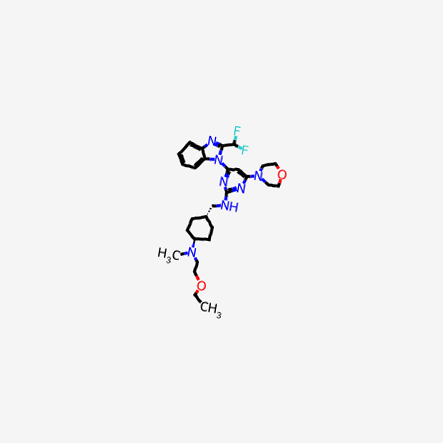 CCOCCN(C)[C@H]1CC[C@H](CNc2nc(N3CCOCC3)cc(-n3c(C(F)F)nc4ccccc43)n2)CC1